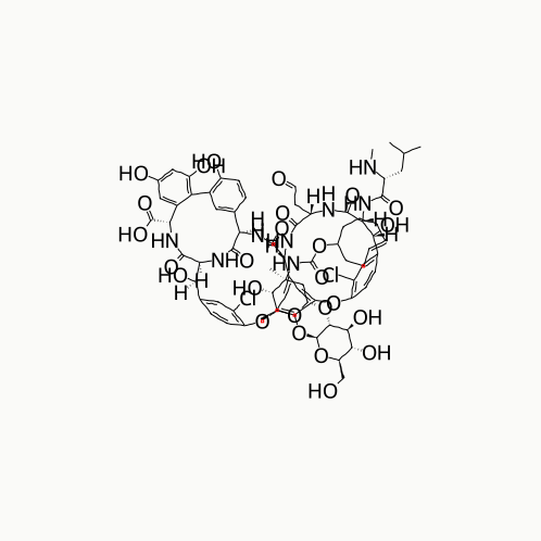 CN[C@H](CC(C)C)C(=O)N[C@H]1C(=O)N[C@@H](CC=O)C(=O)N[C@H]2C(=O)N[C@H]3C(=O)N[C@H](C(=O)N[C@H](C(=O)O)c4cc(O)cc(O)c4-c4cc3ccc4O)[C@H](O)c3ccc(c(Cl)c3)Oc3cc2cc(c3O[C@@H]2O[C@H](CO)[C@@H](O)[C@H](O)[C@H]2O[C@H]2C[C@](C)(NC(=O)OC3CC/C=C/CCC3)[C@@H](O)[C@H](C)O2)Oc2ccc(cc2Cl)[C@H]1O